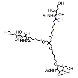 CC(=O)N/C(=C(/O)[C@@H](O)CCO)[C@@H](O)CCCCCCOCC(C)(COCCCCCO[C@@H]1OC(CO)[C@H](O)C(O)C1NC(C)=O)COCCCCCO[C@H](O)/C(NC(C)=O)=C(\O)[C@@H](O)CCO